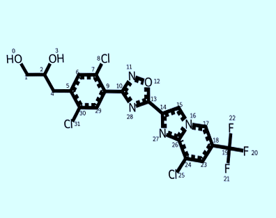 OCC(O)Cc1cc(Cl)c(-c2noc(-c3cn4cc(C(F)(F)F)cc(Cl)c4n3)n2)cc1Cl